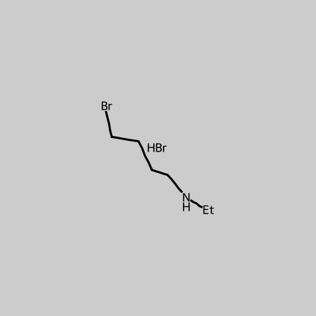 Br.CCNCCCCBr